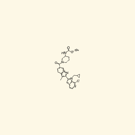 Cc1c(-c2cc3ccnc(Cl)c3n2CC2CC2)nn2cc(C(=O)N3CCCC(NC(=O)OC(C)(C)C)C3)ccc12